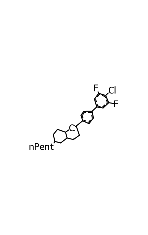 CCCCCC1CCC2CC(c3ccc(-c4cc(F)c(Cl)c(F)c4)cc3)CCC2C1